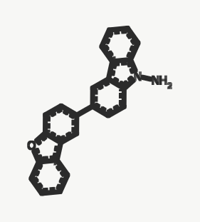 Nn1c2ccccc2c2cc(-c3ccc4oc5ccccc5c4c3)ccc21